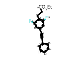 CCOC(=O)CCc1c(F)cc(C#Cc2ccccc2)cc1F